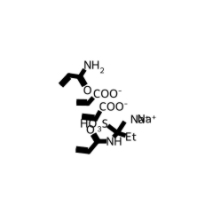 C=CC(=O)NC(C)(CC)S(=O)(=O)O.C=CC(=O)[O-].C=CC(=O)[O-].C=CC(N)=O.[Na+].[Na+]